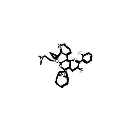 CN(C)CCOc1nc(N2C3CCCC2CC3)c2cc(F)c(-c3ccccc3F)nc2c1-c1cccnc1C1CC1